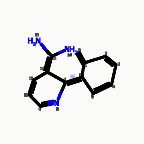 C=c1cccc/c1=c1\ncccc1=C(N)N